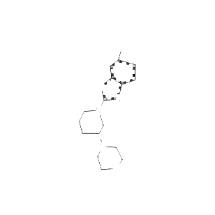 Brc1ccc2nc(N3CCC[C@H](N4CCOCC4)C3)sc2c1